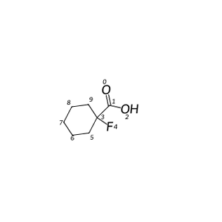 O=C(O)C1(F)CCCCC1